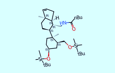 CCCCC(=O)NC[C@@H]1[C@@H]([C@]2(C)CC[C@H](O[Si](C)(C)C(C)(C)C)C[C@@H]2CO[Si](C)(C)C(C)(C)C)CC[C@@]2(C)C=CC[C@@H]12